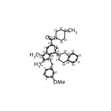 COc1cccc(Cn2c(C)c(C)c3cc(C(=O)N4CCC(C)CC4)nc(N4CCc5ccccc5C4)c32)c1